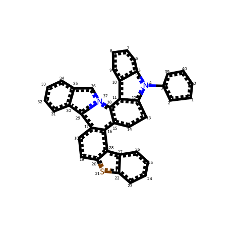 c1ccc(-n2c3ccccc3c3c2ccc2c4c(ccc5sc6ccccc6c54)c4c5ccccc5cn4c23)cc1